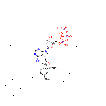 COc1ccc([N+](=O)[O-])c([C@@H](OCc2cn([C@H]3C[C@@H](O)[C@@H](COP(=O)(O)OP(=O)(O)OP(=O)(O)O)O3)c3ncnc(N)c23)C(C)(C)C)c1